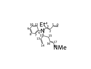 C=C/C=C(\CC)N(c1ccccc1)C(C=C)C/C=C/NC